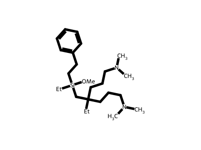 CCC(CCCN(C)C)(CCCN(C)C)C[Si](CC)(CCc1ccccc1)OC